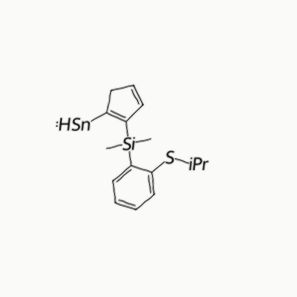 CC(C)Sc1ccccc1[Si](C)(C)C1=[C]([SnH])CC=C1